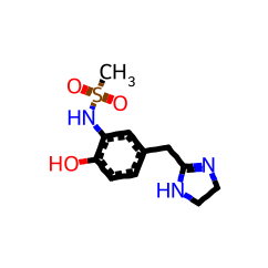 CS(=O)(=O)Nc1cc(CC2=NCCN2)ccc1O